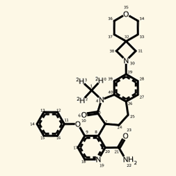 [2H]C([2H])([2H])N1C(=O)C(c2c(Oc3ccccc3)ccnc2C(N)=O)CCc2ccc(N3CC4(CCOCC4)C3)cc21